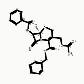 CC(=O)OCC1=C(C(=O)OCc2ccccc2)N2C(=O)C(NC(=O)c3ccccc3)[C@H]2SC1